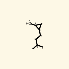 CC(C)CCC1CC1O